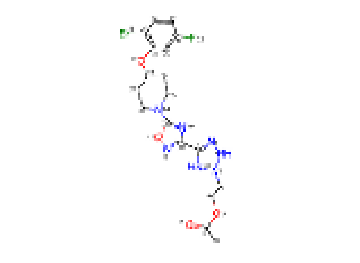 CC(=O)OCCN1NN=C(c2noc(N3CCC(Oc4cc(F)ccc4Br)CC3)n2)N1